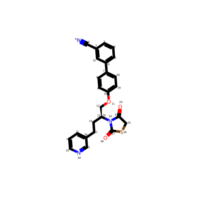 N#Cc1cccc(-c2ccc(OC[C@H](CCc3cccnc3)N3C(=O)CSC3=O)cc2)c1